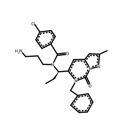 CC[C@H](c1cc2cc(C)nn2c(=O)n1Cc1ccccc1)N(CCCN)C(=O)c1ccc(Cl)cc1